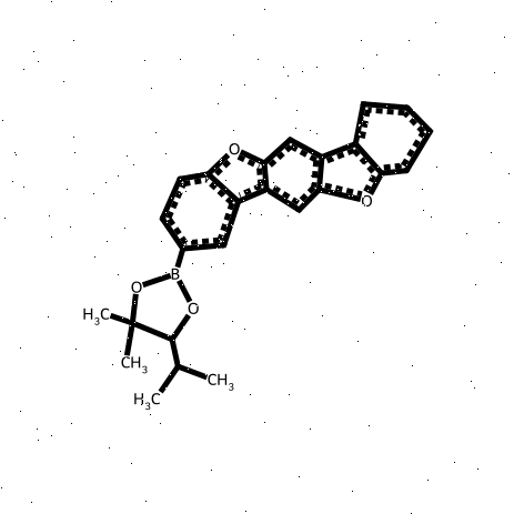 CC(C)C1OB(c2ccc3oc4cc5c(cc4c3c2)oc2ccccc25)OC1(C)C